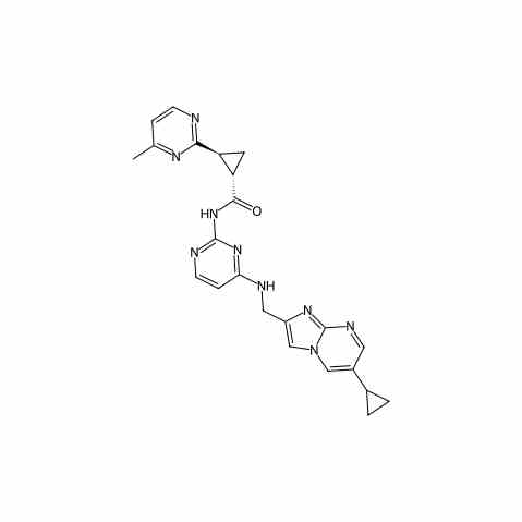 Cc1ccnc([C@H]2C[C@@H]2C(=O)Nc2nccc(NCc3cn4cc(C5CC5)cnc4n3)n2)n1